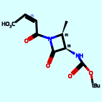 C[C@@H]1[C@H](NC(=O)OC(C)(C)C)C(=O)N1C(=O)/C=C\C(=O)O